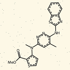 COC(=O)c1sccc1N(C)c1cc(C)c(Nc2nc3ccccc3s2)nn1